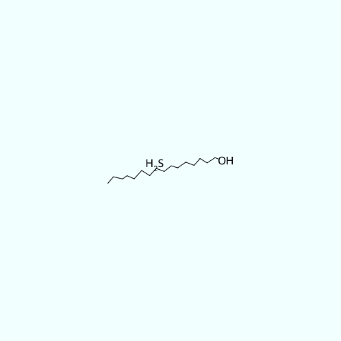 CCCCCCCCCCCCCCCCO.S